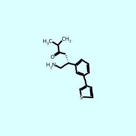 CC(C)C(=O)C[C@@H](CN)c1cccc(-c2ccsc2)c1